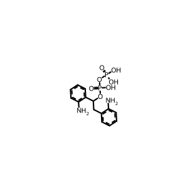 Nc1ccccc1CC(OP(=O)(O)OP(=O)(O)O)c1ccccc1N